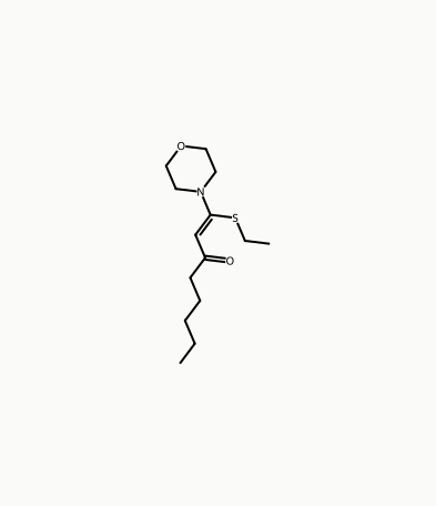 CCCCCC(=O)C=C(SCC)N1CCOCC1